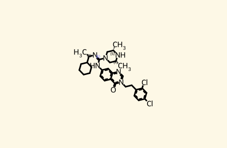 C[C@@H]1CN(/C(=N/[C@H](C)C2CCCCC2)Nc2ccc3c(=O)n(CCc4ccc(Cl)cc4Cl)cnc3c2)C[C@H](C)N1